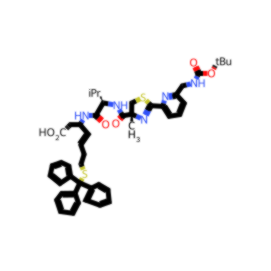 CC(C)[C@H](NC(=O)[C@]1(C)CSC(c2cccc(CNC(=O)OC(C)(C)C)n2)=N1)C(=O)NC(C=CCCSC(c1ccccc1)(c1ccccc1)c1ccccc1)CC(=O)O